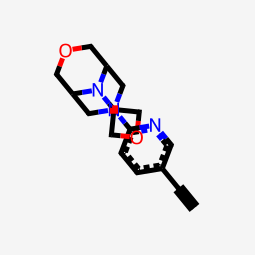 C#Cc1ccc(N2CC3COCC(C2)N3C2COC2)nc1